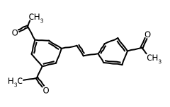 CC(=O)c1ccc(C=Cc2cc(C(C)=O)cc(C(C)=O)c2)cc1